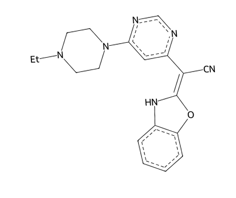 CCN1CCN(c2cc(C(C#N)=C3Nc4ccccc4O3)ncn2)CC1